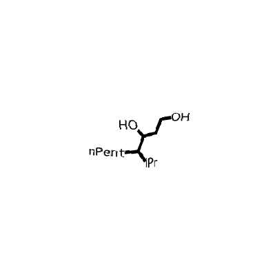 CCCCCC(C(C)C)C(O)CCO